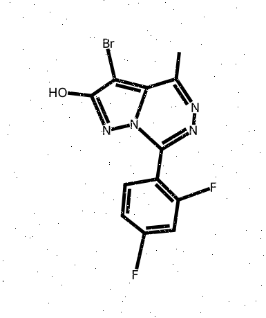 Cc1nnc(-c2ccc(F)cc2F)n2nc(O)c(Br)c12